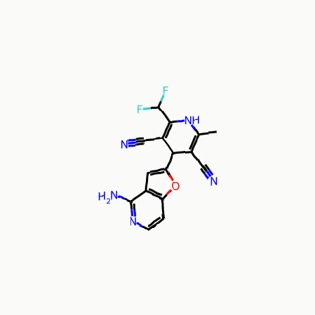 CC1=C(C#N)C(c2cc3c(N)nccc3o2)C(C#N)=C(C(F)F)N1